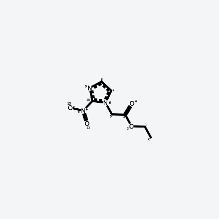 CCOC(=O)Cn1ccnc1[N+](=O)[O-]